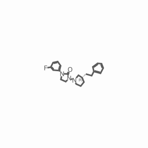 O=C1N(c2cccc(F)c2)CCN1N1CCC[C@@H](CCc2ccccc2)C1